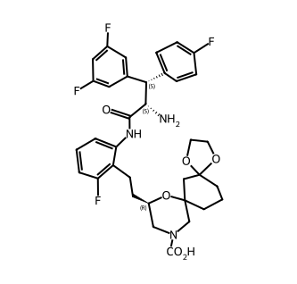 N[C@H](C(=O)Nc1cccc(F)c1CC[C@@H]1CN(C(=O)O)CC2(CCCC3(C2)OCCO3)O1)[C@@H](c1ccc(F)cc1)c1cc(F)cc(F)c1